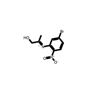 C/C(CO)=N\c1cc(Br)ccc1[N+](=O)[O-]